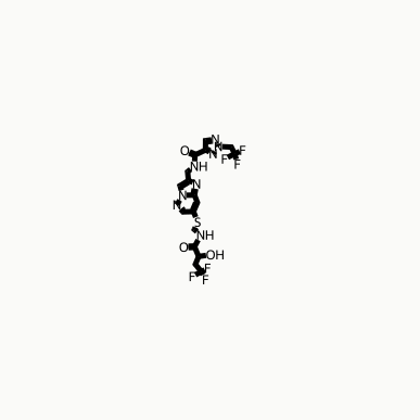 O=C(NCc1cn2ncc(SCNC(=O)C(O)CC(F)(F)F)cc2n1)c1cnn(CC(F)(F)F)n1